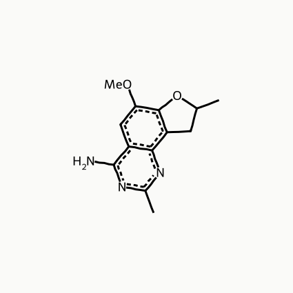 COc1cc2c(N)nc(C)nc2c2c1OC(C)C2